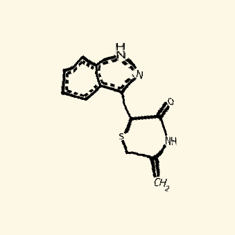 C=C1CSC(c2n[nH]c3ccccc23)C(=O)N1